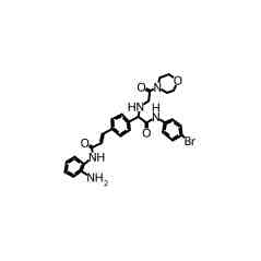 Nc1ccccc1NC(=O)C=Cc1ccc(C(NCC(=O)N2CCOCC2)C(=O)Nc2ccc(Br)cc2)cc1